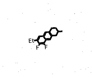 CCc1cc2cc3c(cc2c(F)c1F)CC(C)CC3